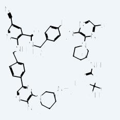 CC(C)(C)OC(=O)N[C@@H]1CCCN(c2nc(Br)cnc2N)C1.C[C@H](NC(=O)c1cc(C#N)cnc1NCc1ccc(-c2cnc(N)c(N3CCC[C@@H](N)C3)n2)cc1)c1ccc(F)cc1